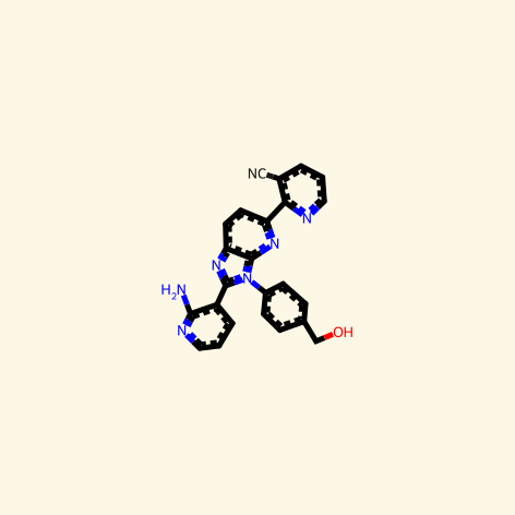 N#Cc1cccnc1-c1ccc2nc(-c3cccnc3N)n(-c3ccc(CO)cc3)c2n1